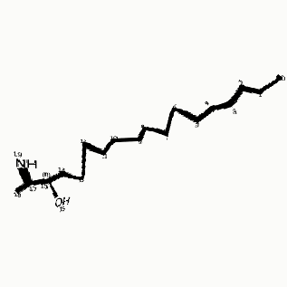 CCCCCCCCCCCCCCC[C@@H](O)C(C)=N